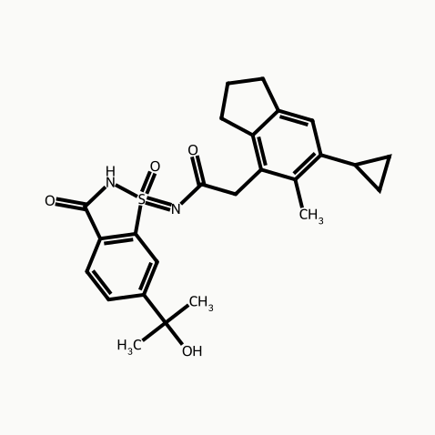 Cc1c(C2CC2)cc2c(c1CC(=O)N=S1(=O)NC(=O)c3ccc(C(C)(C)O)cc31)CCC2